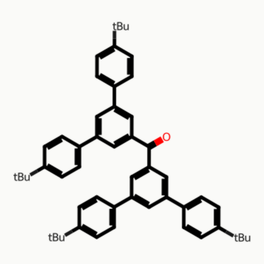 CC(C)(C)c1ccc(-c2cc(C(=O)c3cc(-c4ccc(C(C)(C)C)cc4)cc(-c4ccc(C(C)(C)C)cc4)c3)cc(-c3ccc(C(C)(C)C)cc3)c2)cc1